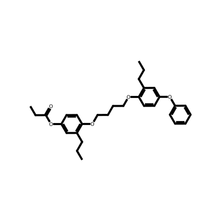 CCCc1cc(OC(=O)CC)ccc1OCCCCOc1ccc(Oc2ccccc2)cc1CCC